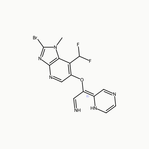 Cn1c(Br)nc2ncc(O/C(C=N)=C3\C=NC=CN3)c(C(F)F)c21